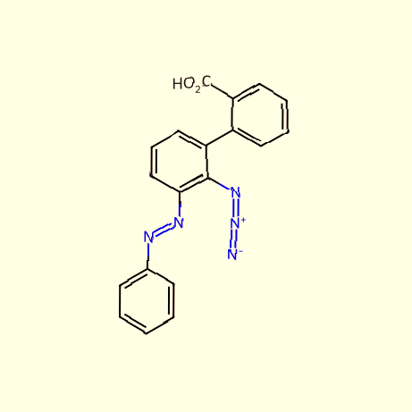 [N-]=[N+]=Nc1c(N=Nc2ccccc2)cccc1-c1ccccc1C(=O)O